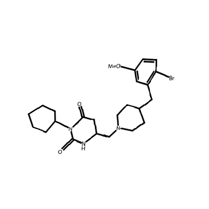 COc1ccc(Br)c(CC2CCN(CC3CC(=O)N(C4CCCCC4)C(=O)N3)CC2)c1